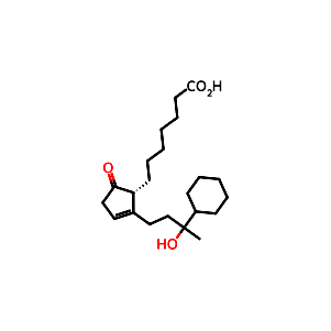 CC(O)(CCC1=CCC(=O)[C@@H]1CCCCCCC(=O)O)C1CCCCC1